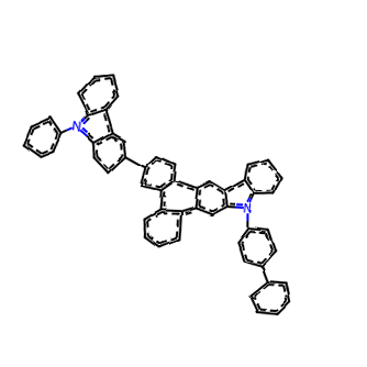 c1ccc(-c2ccc(-n3c4ccccc4c4cc5c6ccc(-c7ccc8c(c7)c7ccccc7n8-c7ccccc7)cc6c6ccccc6c5cc43)cc2)cc1